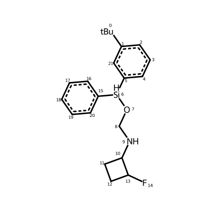 CC(C)(C)c1cccc([SiH](OCNC2CCC2F)c2ccccc2)c1